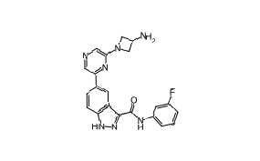 NC1CN(c2cncc(-c3ccc4[nH]nc(C(=O)Nc5cccc(F)c5)c4c3)n2)C1